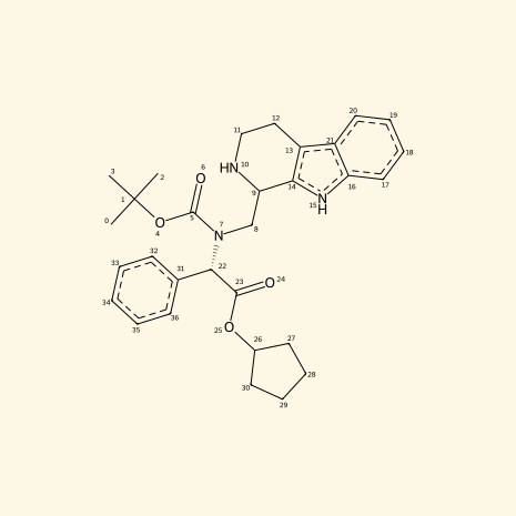 CC(C)(C)OC(=O)N(CC1NCCc2c1[nH]c1ccccc21)[C@H](C(=O)OC1CCCC1)c1ccccc1